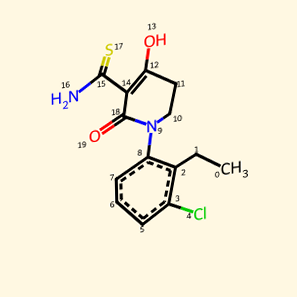 CCc1c(Cl)cccc1N1CCC(O)=C(C(N)=S)C1=O